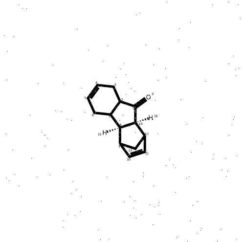 O=C1C2CC=CCC2[C@@H]2C3C=CC(C3)[C@H]12